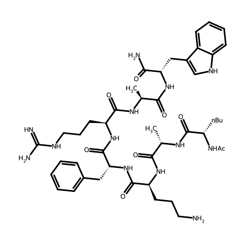 CCCC[C@H](NC(C)=O)C(=O)N[C@@H](C)C(=O)N[C@@H](CCCN)C(=O)N[C@H](Cc1ccccc1)C(=O)N[C@@H](CCCNC(=N)N)C(=O)N[C@@H](C)C(=O)N[C@@H](Cc1c[nH]c2ccccc12)C(N)=O